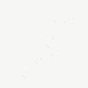 Cc1ncc(-c2ccc3cnc(NC(=O)N4CCC(NC(CF)CF)CC4)cc3n2)o1